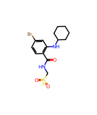 O=C(NC[SH](=O)=O)c1ccc(Br)cc1NC1CCCCC1